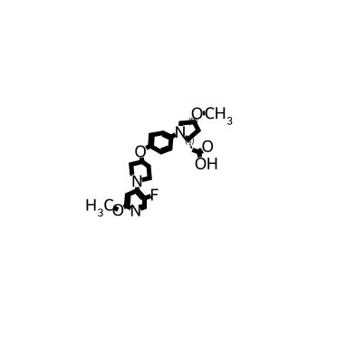 COc1cc(N2CCC(Oc3ccc(N4C[C@H](OC)C[C@@H]4CC(=O)O)cc3)CC2)c(F)cn1